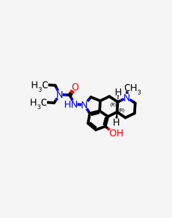 CCN(CC)C(=O)NN1CC2C[C@@H]3[C@H](CCCN3C)c3c(O)ccc1c32